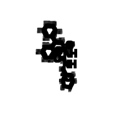 O=C(NCC1CC2CCC1O2)NS(=O)(=O)C=C(c1ccccc1)c1ccccc1